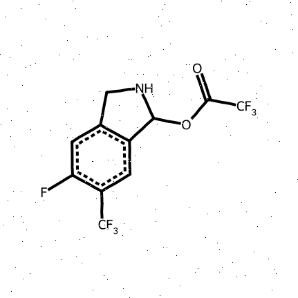 O=C(OC1NCc2cc(F)c(C(F)(F)F)cc21)C(F)(F)F